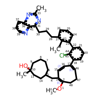 CO/C1=C(CC2CCCCC(C)(O)CC2)/C=C\C(c2cccc(-c3cccc(CCCc4nc(C)nc5cccnc45)c3C)c2Cl)=C/CC1